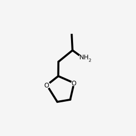 CC(N)CC1OCCO1